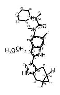 Cc1cc2[nH]c(-c3n[nH]c4c3C[C@@H]3C[C@]3(C)C4)nc2cc1N(C)C(=O)[C@H](C)N1CCOCC1.O.O